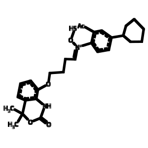 CC(=O)c1cc(C2CCCCC2)ccc1[N+](=CCCCOc1cccc2c1NC(=O)OC2(C)C)OS